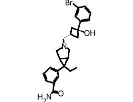 CCC1(c2cccc(C(N)=O)c2)C2CN(C[C@H]3C[C@@](O)(c4cccc(Br)c4)C3)CC21